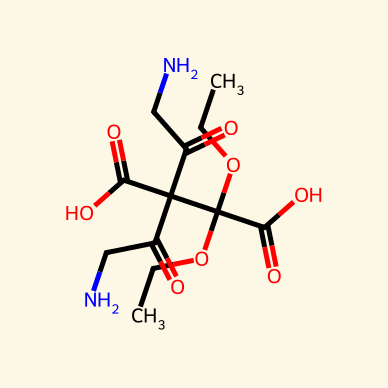 CCOC(OCC)(C(=O)O)C(C(=O)O)(C(=O)CN)C(=O)CN